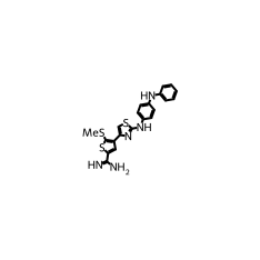 CSc1sc(C(=N)N)cc1-c1csc(Nc2ccc(Nc3ccccc3)cc2)n1